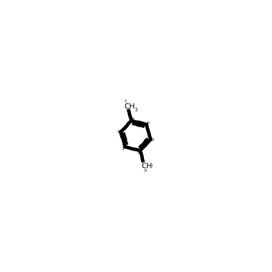 [CH]c1ccc(C)cc1